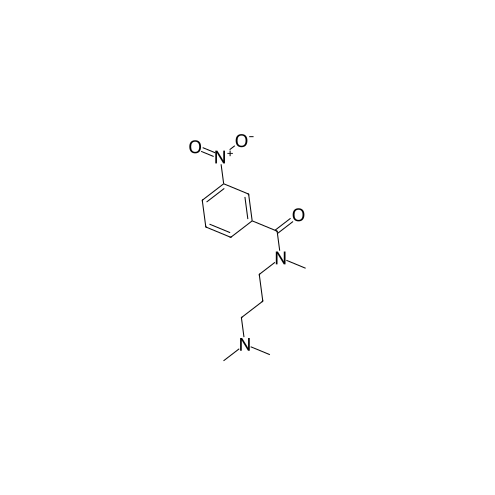 CN(C)CCCN(C)C(=O)c1cccc([N+](=O)[O-])c1